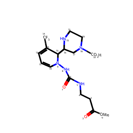 COC(=O)CCNC(=O)NN1C=CC=C(C(F)(F)F)C1C1CN(C(=O)O)CCN1